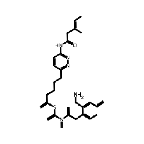 C=C/C=C(CN)\C(=C/C)CC(=C)N(C)C(=C)SC(=C)CCCCc1ccc(NC(=O)C/C(C)=C/C)nn1